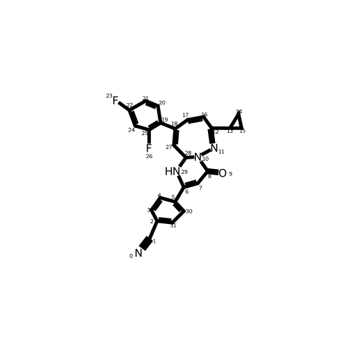 N#Cc1ccc(C2=CC(=O)N3N=C(C4CC4)C=CC(c4ccc(F)cc4F)=CC3N2)cc1